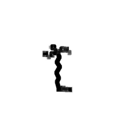 CCCCCCCCCCCC[Si](C)(C)[O]